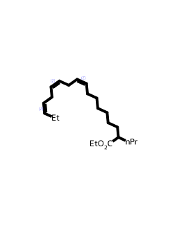 CC/C=C\C/C=C\C/C=C\CCCCCCC(CCC)C(=O)OCC